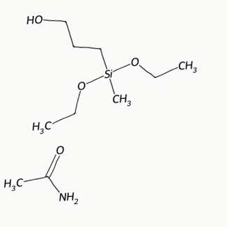 CC(N)=O.CCO[Si](C)(CCCO)OCC